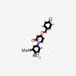 CNc1cc(-n2ccc(OCc3ccc(Cl)cc3)cc2=O)ccc1[N+](=O)[O-]